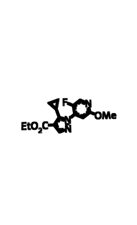 CCOC(=O)c1cnn(-c2cc(OC)ncc2F)c1C1CC1